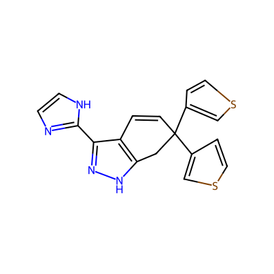 C1=CC(c2ccsc2)(c2ccsc2)Cc2[nH]nc(-c3ncc[nH]3)c21